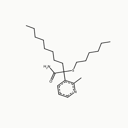 CCCCCCCCC(SCCCCCC)(C(N)=O)c1cccnc1C